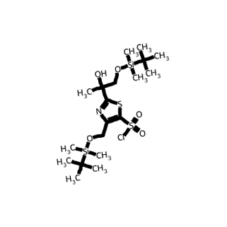 CC(O)(CO[Si](C)(C)C(C)(C)C)c1nc(CO[Si](C)(C)C(C)(C)C)c(S(=O)(=O)Cl)s1